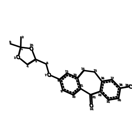 CC1(C)OCC(COc2ccc3c(c2)CCc2cc(Cl)ccc2C3=O)O1